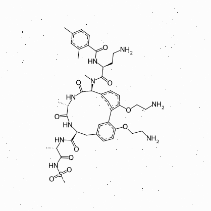 Cc1ccc(C(=O)N[C@@H](CCN)C(=O)N(C)[C@@H]2C(=O)N[C@@H](C)C(=O)N[C@H](C(=O)N[C@@H](C)C(=O)NS(C)(=O)=O)Cc3ccc(OCCN)c(c3)-c3cc2ccc3OCCN)c(C)c1